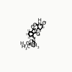 CC(C)(C)ON(C=O)Cc1cccc2c1C(=O)N(C1CCC(=O)NC1=O)C2=O